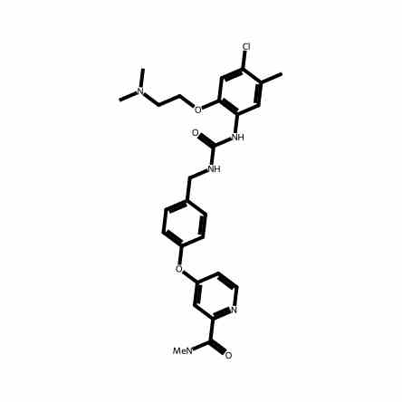 CNC(=O)c1cc(Oc2ccc(CNC(=O)Nc3cc(C)c(Cl)cc3OCCN(C)C)cc2)ccn1